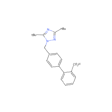 CCCCc1nc(C(C)(C)C)n(Cc2ccc(-c3ccccc3C(=O)O)cc2)n1